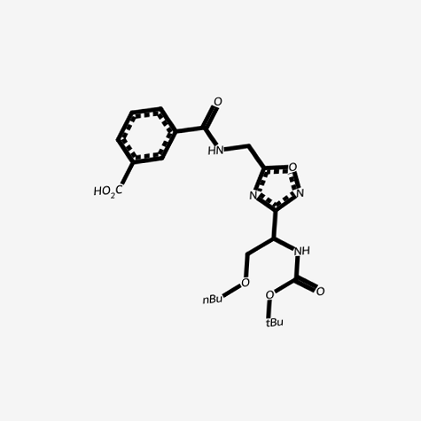 CCCCOCC(NC(=O)OC(C)(C)C)c1noc(CNC(=O)c2cccc(C(=O)O)c2)n1